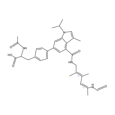 CC(=O)NC(Cc1ccc(-c2cc(C(=O)NC/C(C)=C(C)/C=C(/C)NC=O)c3c(C)cn(C(C)C)c3c2)cc1)C(=O)O